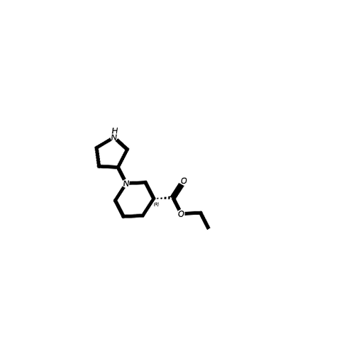 CCOC(=O)[C@@H]1CCCN(C2CCNC2)C1